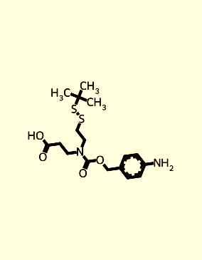 CC(C)(C)SSCCN(CCC(=O)O)C(=O)OCc1ccc(N)cc1